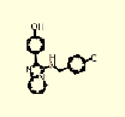 Oc1ccc(-c2nc3ccccn3c2NCc2ccc(Cl)cc2)cc1